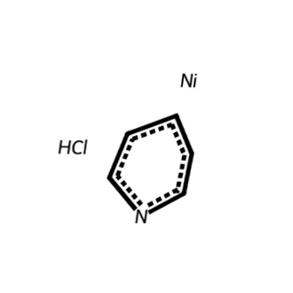 Cl.[Ni].c1ccncc1